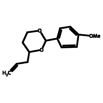 C=CCC1CCOC(c2ccc(OC)cc2)O1